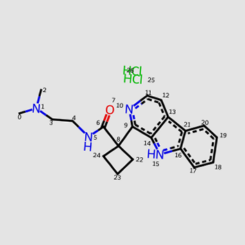 CN(C)CCNC(=O)C1(c2nccc3c2[nH]c2ccccc23)CCC1.Cl.Cl